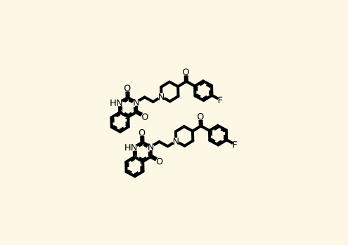 O=C(c1ccc(F)cc1)C1CCN(CCn2c(=O)[nH]c3ccccc3c2=O)CC1.O=C(c1ccc(F)cc1)C1CCN(CCn2c(=O)[nH]c3ccccc3c2=O)CC1